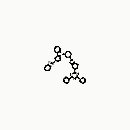 c1ccc(-c2nc(-c3ccccc3)nc(-c3ccc4oc(C5CCCC(n6c7ccccc7c7cc(-c8nc9ccccc9o8)ccc76)C5)nc4c3)n2)cc1